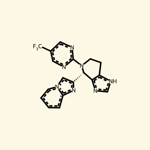 FC(F)(F)c1cnc(N2CCc3[nH]cnc3[C@@H]2c2cn3ccccc3n2)nc1